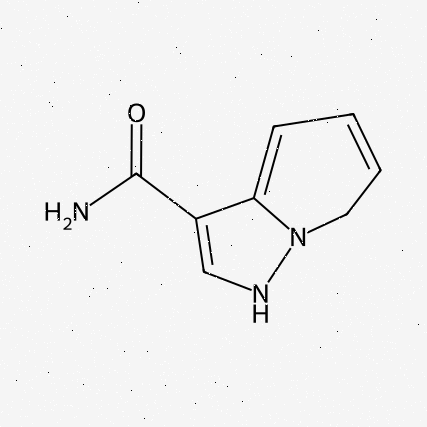 NC(=O)C1=CNN2CC=CC=C12